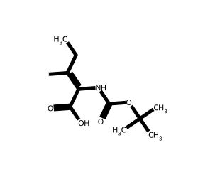 CCC(I)=C(NC(=O)OC(C)(C)C)C(=O)O